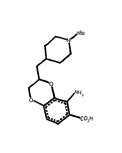 CCCCN1CCC(CC2COc3ccc(C(=O)O)c(N)c3O2)CC1